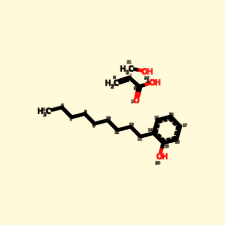 C=CC(=O)O.CCCCCCCCCc1ccccc1O.CO